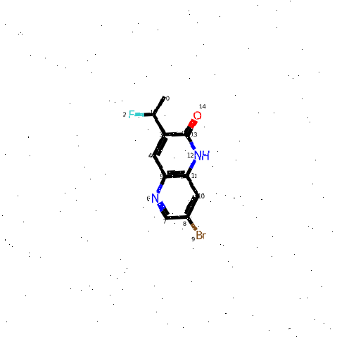 CC(F)c1cc2ncc(Br)cc2[nH]c1=O